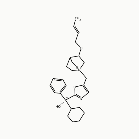 CC=CCOC1C[N+]2(Cc3cnc([C@](O)(c4ccccc4)C4CCCCC4)o3)CCC1CC2